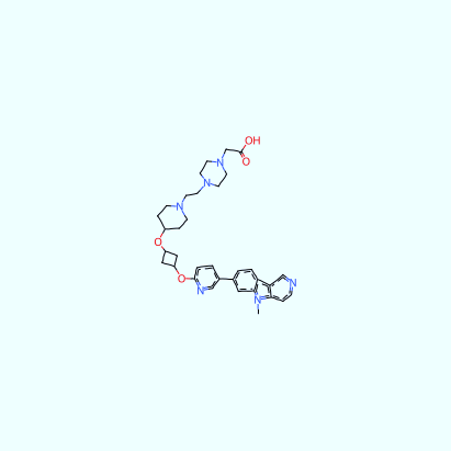 Cn1c2ccncc2c2ccc(-c3ccc(OC4CC(OC5CCN(CCN6CCN(CC(=O)O)CC6)CC5)C4)nc3)cc21